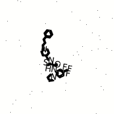 O=C(Nc1cc(C(F)(F)F)ccc1N1CCCC1)c1csc(C2CCN(CCCc3ccccc3)CC2)n1